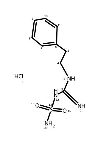 Cl.N=C(NCCc1ccccc1)NS(N)(=O)=O